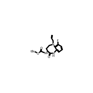 C=CCN1CC[C@H](NC(=O)OC(C)(C)C)C(=O)Nc2cccc(F)c21